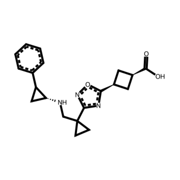 O=C(O)[C@H]1C[C@@H](c2nc(C3(CN[C@@H]4CC4c4ccccc4)CC3)no2)C1